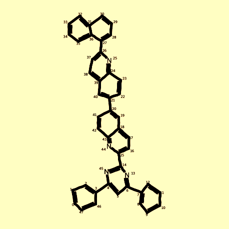 c1ccc(-c2cc(-c3ccccc3)nc(-c3ccc4cc(-c5ccc6nc(-c7cccc8ccccc78)ccc6c5)ccc4n3)n2)cc1